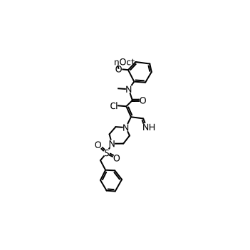 CCCCCCCCOc1ccccc1N(C)C(=O)/C(Cl)=C(\C=N)N1CCN(S(=O)(=O)Cc2ccccc2)CC1